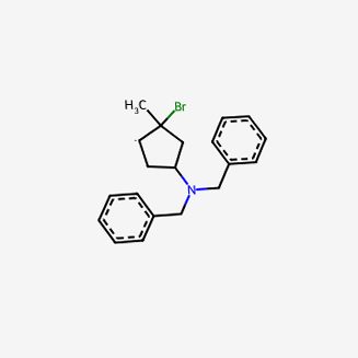 CC1(Br)[CH]CC(N(Cc2ccccc2)Cc2ccccc2)C1